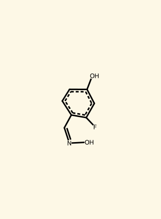 O/N=C\c1ccc(O)cc1F